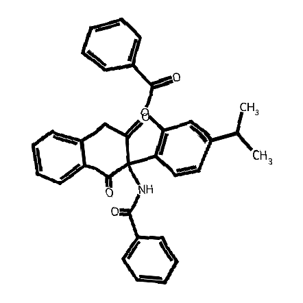 CC(C)c1ccc(C2(NC(=O)c3ccccc3)C(=O)Cc3ccccc3C2=O)c(OC(=O)c2ccccc2)c1